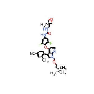 Cc1cc(C#N)ccc1-c1cn(COCC[Si](C)(C)C)c2nccc(Oc3c(F)cc(NC(=O)NCC4(C)COC4)cc3F)c12